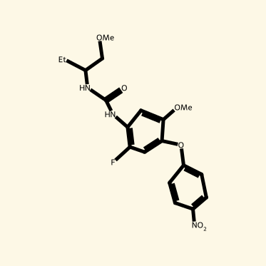 CCC(COC)NC(=O)Nc1cc(OC)c(Oc2ccc([N+](=O)[O-])cc2)cc1F